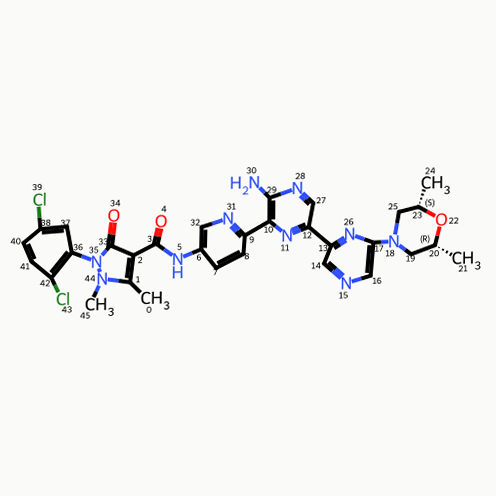 Cc1c(C(=O)Nc2ccc(-c3nc(-c4cncc(N5C[C@@H](C)O[C@@H](C)C5)n4)cnc3N)nc2)c(=O)n(-c2cc(Cl)ccc2Cl)n1C